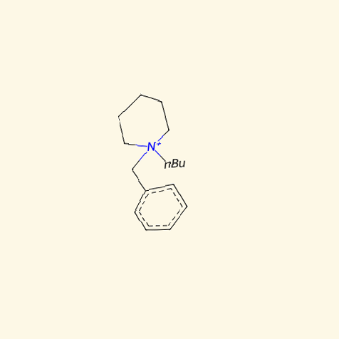 CCCC[N+]1(Cc2ccccc2)CCCCC1